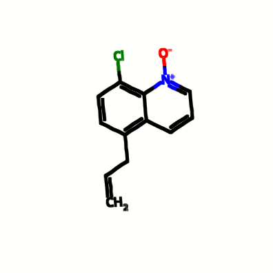 C=CCc1ccc(Cl)c2c1ccc[n+]2[O-]